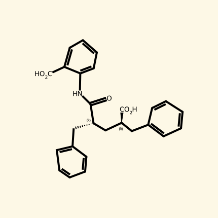 O=C(O)c1ccccc1NC(=O)[C@@H](Cc1ccccc1)C[C@H](Cc1ccccc1)C(=O)O